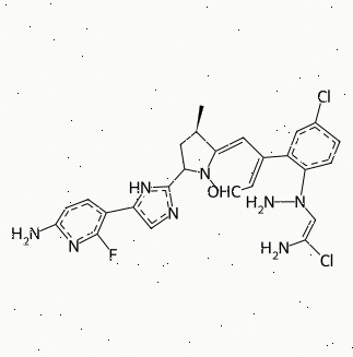 C[C@@H]1CC(c2ncc(-c3ccc(N)nc3F)[nH]2)N(C)/C1=C\C(=C/C=O)c1cc(Cl)ccc1N(N)/C=C(\N)Cl